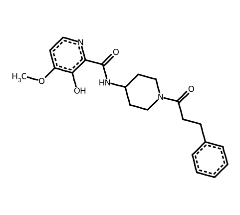 COc1ccnc(C(=O)NC2CCN(C(=O)CCc3ccccc3)CC2)c1O